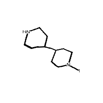 IN1CCC(C2CCNCC2)CC1